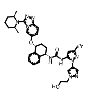 CC(C)c1cc(NC(=O)N[C@H]2CC[C@@H](Oc3ccc4nnc(N5[C@H](C)CCC[C@@H]5C)n4c3)c3ccccc32)n(-c2cnn(CCO)c2)n1